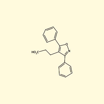 O=C(O)CCc1c(-c2ccccc2)noc1-c1ccccc1